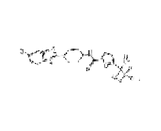 CC(C)(c1ccc(C(=O)NC2CCC(c3nc4cc(Cl)ccc4s3)CC2)o1)S(C)(=O)=O